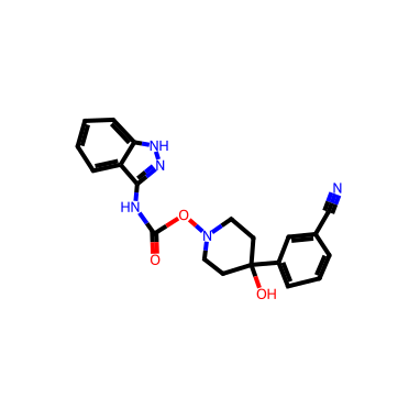 N#Cc1cccc(C2(O)CCN(OC(=O)Nc3n[nH]c4ccccc34)CC2)c1